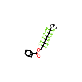 O=C(OCC(F)(F)C(F)(F)C(F)(F)C(F)(F)C(F)(F)C(F)(F)C(F)(F)F)C1CC2C=CC1C2